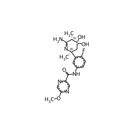 COc1cnc(C(=O)Nc2ccc(F)c([C@]3(C)CS(O)(O)[C@@H](C)C(N)=N3)c2)cn1